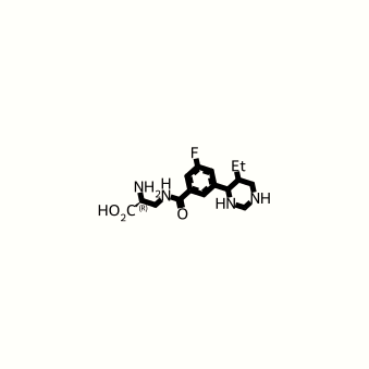 CCC1CNCNC1c1cc(F)cc(C(=O)NC[C@@H](N)C(=O)O)c1